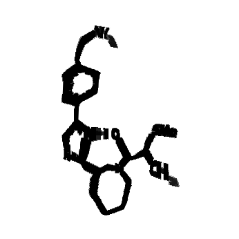 CSC(C)C(=O)N1CCCCC1c1ncc(-c2ccc(CN)cc2)[nH]1